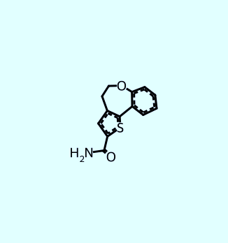 NC(=O)c1cc2c(s1)-c1ccccc1OCC2